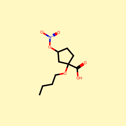 CCCCOC1(C(=O)O)CCC(O[N+](=O)[O-])C1